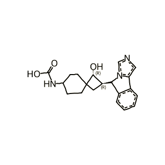 O=C(O)NC1CCC2(CC1)C[C@H](C1c3ccccc3-c3cncn31)[C@H]2O